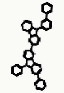 C1=Cc2c(c3cc(-c4ccc5c(c4)c4ccc(-c6ccccc6)cc4n5-c4ccccc4)ccc3n2-c2cccc(-c3ccccc3)c2)CC1